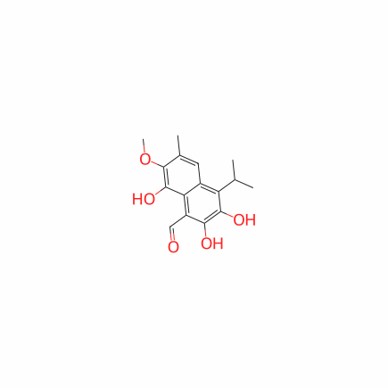 COc1c(C)cc2c(C(C)C)c(O)c(O)c(C=O)c2c1O